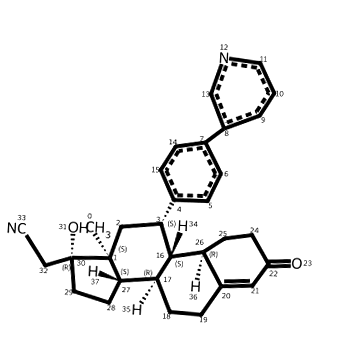 C[C@]12C[C@H](c3ccc(-c4cccnc4)cc3)[C@H]3[C@@H](CCC4=CC(=O)CC[C@@H]43)[C@@H]1CC[C@@]2(O)CC#N